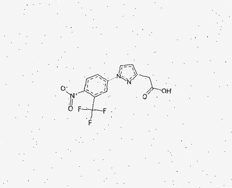 O=C(O)Cc1ccn(-c2ccc([N+](=O)[O-])c(C(F)(F)F)c2)n1